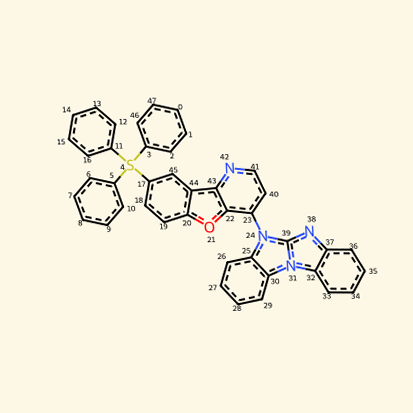 c1ccc(S(c2ccccc2)(c2ccccc2)c2ccc3oc4c(-n5c6ccccc6n6c7ccccc7nc56)ccnc4c3c2)cc1